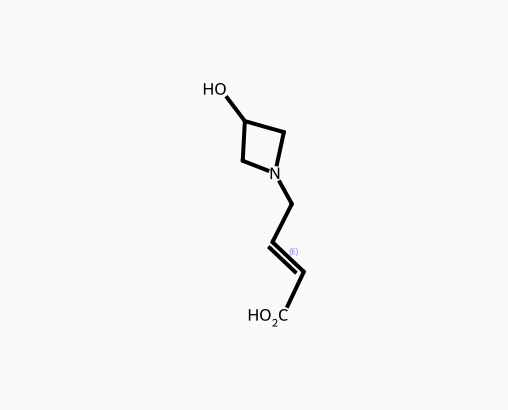 O=C(O)/C=C/CN1CC(O)C1